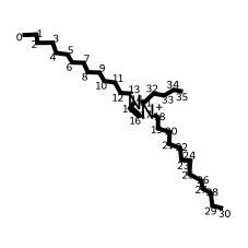 CCCCCCCCCCCCCCn1cc[n+](CCCCCCCCCCCCC)c1CCCC